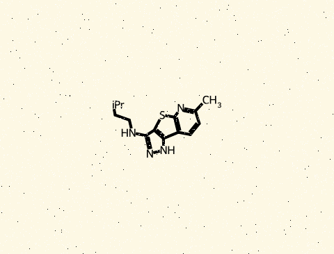 Cc1ccc2c(n1)sc1c(NCCC(C)C)n[nH]c12